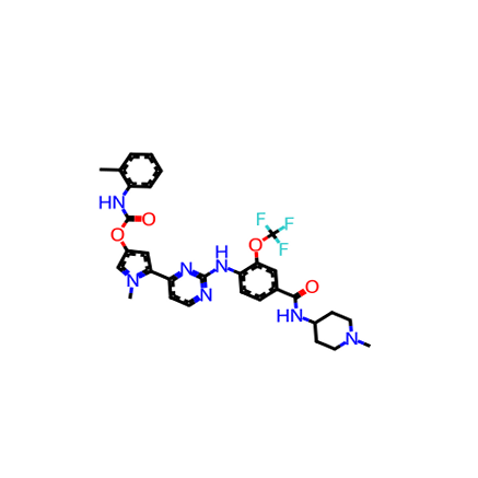 Cc1ccccc1NC(=O)Oc1cc(-c2ccnc(Nc3ccc(C(=O)NC4CCN(C)CC4)cc3OC(F)(F)F)n2)n(C)c1